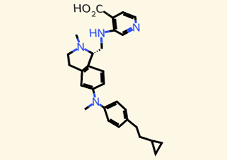 CN(c1ccc(CCC2CC2)cc1)c1ccc2c(c1)CCN(C)[C@@H]2CNc1cnccc1C(=O)O